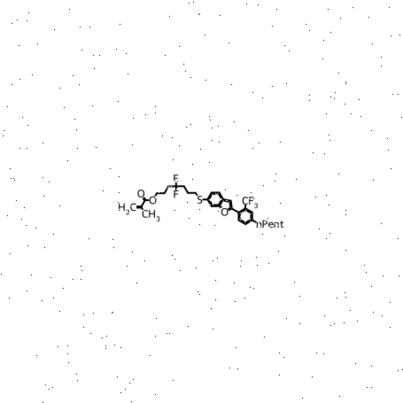 C=C(C)C(=O)OCCCC(F)(F)CCCSc1ccc2cc(-c3ccc(CCCCC)cc3C(F)(F)F)oc2c1